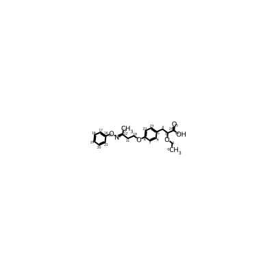 CCOC(Cc1ccc(OCC/C(C)=N/Oc2ccccc2)cc1)C(=O)O